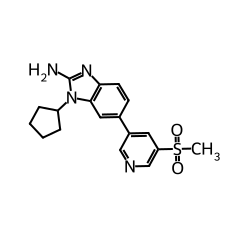 CS(=O)(=O)c1cncc(-c2ccc3nc(N)n(C4CCCC4)c3c2)c1